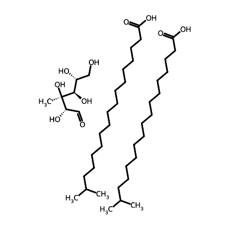 CC(C)CCCCCCCCCCCCCCC(=O)O.CC(C)CCCCCCCCCCCCCCC(=O)O.C[C@](O)([C@H](O)[C@H](O)CO)[C@@H](O)C=O